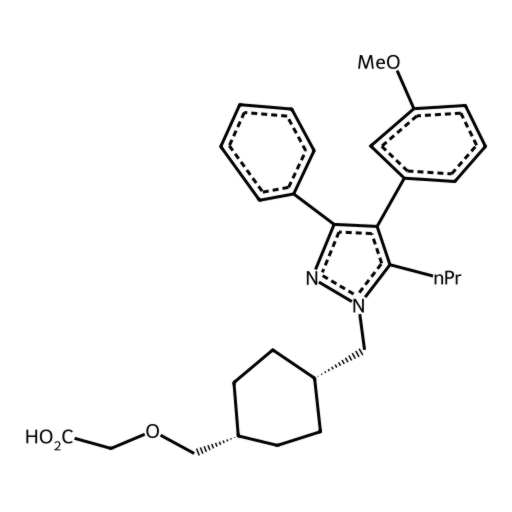 CCCc1c(-c2cccc(OC)c2)c(-c2ccccc2)nn1C[C@H]1CC[C@@H](COCC(=O)O)CC1